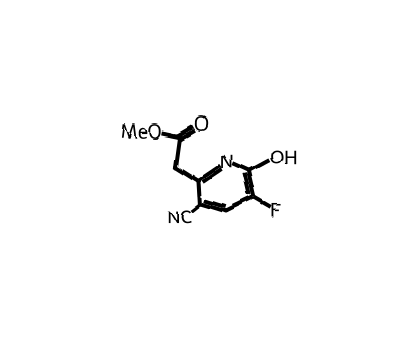 COC(=O)Cc1nc(O)c(F)cc1C#N